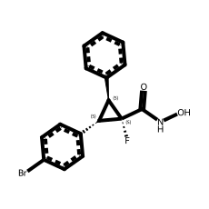 O=C(NO)[C@]1(F)[C@H](c2ccccc2)[C@H]1c1ccc(Br)cc1